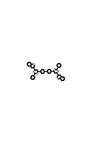 c1ccc(-c2nc(-c3ccc(-c4ccc(-c5cc(-c6cnc7ccccc7c6)nc(-c6ccccc6)n5)cc4)cc3)cc(-c3cnc4ccccc4c3)n2)cc1